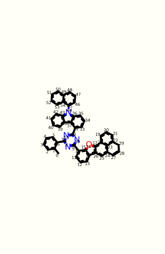 Cc1ccccc1-c1nc(-c2cccc3c2oc2c4cccc5c4c(cc32)C=CC5)nc(-c2cccc3c2c2ccccc2n3-c2cccc3ccccc23)n1